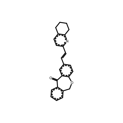 O=C1c2ccccc2COc2ccc(/C=C/c3ccc4c(n3)CCCC4)cc21